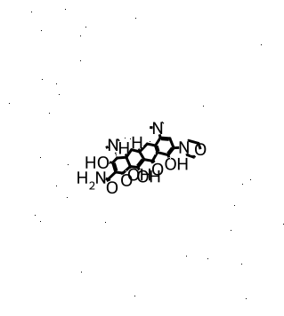 CN(C)c1cc(N2CCOCC2)c(O)c2c1C[C@H]1C[C@H]3[C@@H](N(C)C)C(O)=C(C(N)=O)C(=O)[C@@]3(O)C(O)=C1C2=O